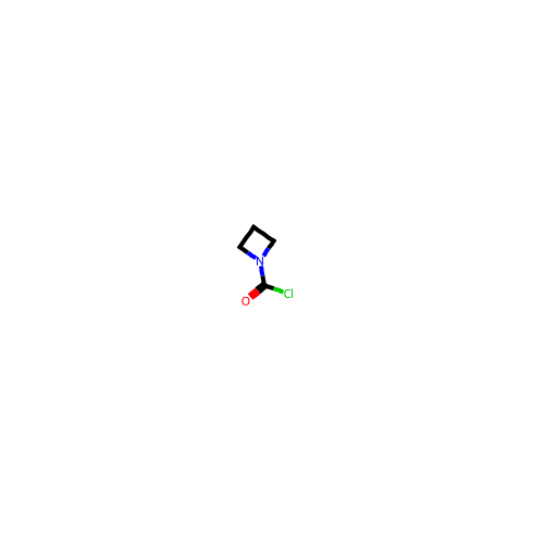 O=C(Cl)N1CCC1